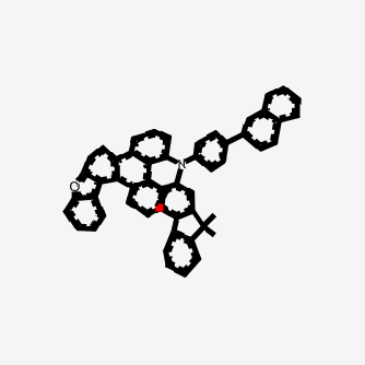 CC1(C)c2ccccc2-c2ccc(N(c3ccc(-c4ccc5ccccc5c4)cc3)c3cccc4c5ccc6oc7ccccc7c6c5c5ccccc5c34)cc21